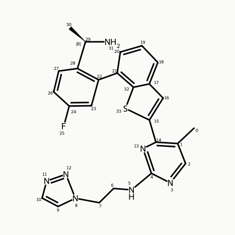 Cc1cnc(NCCn2ccnn2)nc1-c1cc2cccc(-c3cc(F)ccc3[C@@H](C)N)c2s1